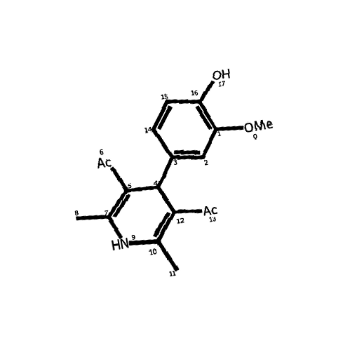 COc1cc(C2C(C(C)=O)=C(C)NC(C)=C2C(C)=O)ccc1O